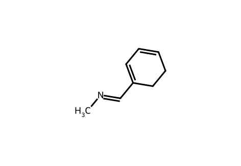 CN=CC1=CC=CCC1